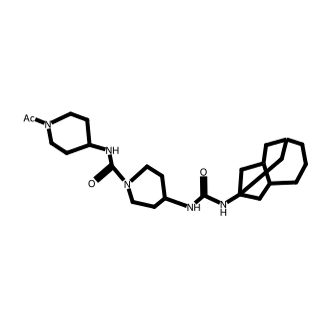 CC(=O)N1CCC(NC(=O)N2CCC(NC(=O)NC34CC5CCCC(C3)C(C5)C4)CC2)CC1